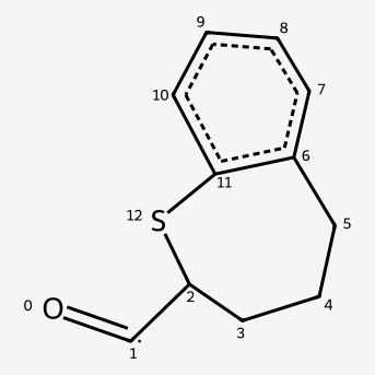 O=[C]C1CCCc2ccccc2S1